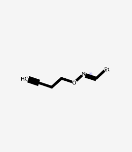 C#CCCO/N=[C]/CC